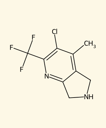 Cc1c(Cl)c(C(F)(F)F)nc2c1CNC2